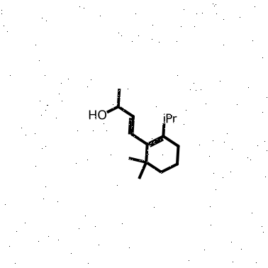 CC(O)/C=C/C1=C(C(C)C)CCCC1(C)C